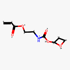 C=CC(=O)OCCNC(=O)OC1CCO1